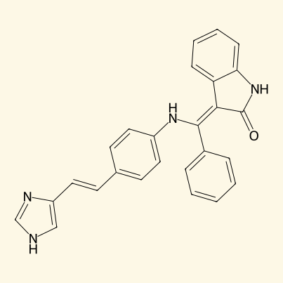 O=C1Nc2ccccc2C1=C(Nc1ccc(C=Cc2c[nH]cn2)cc1)c1ccccc1